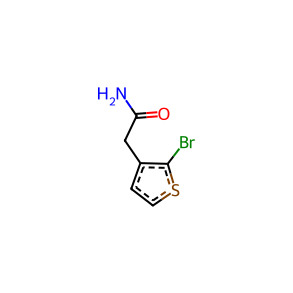 NC(=O)Cc1ccsc1Br